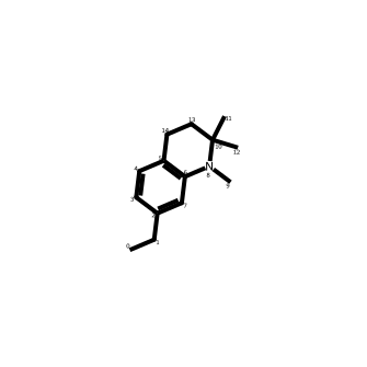 CCc1ccc2c(c1)N(C)C(C)(C)CC2